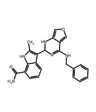 Cc1[nH]c2c(C(N)=O)cccc2c1C1N=C(NCc2ccccc2)c2cocc2N1